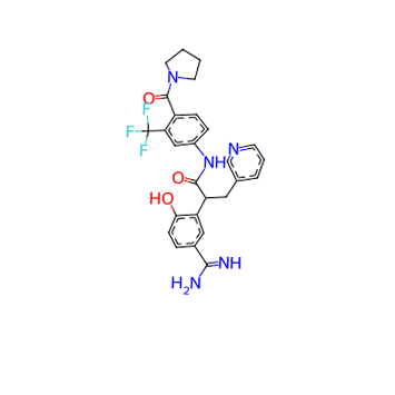 N=C(N)c1ccc(O)c(C(Cc2cccnc2)C(=O)Nc2ccc(C(=O)N3CCCC3)c(C(F)(F)F)c2)c1